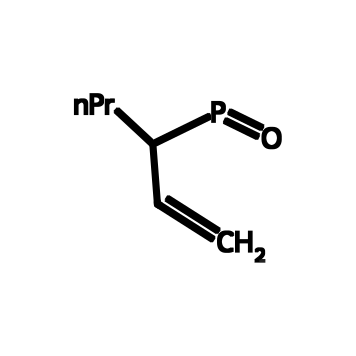 C=CC(CCC)P=O